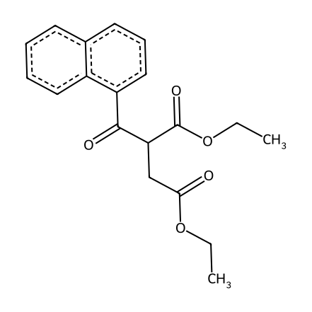 CCOC(=O)CC(C(=O)OCC)C(=O)c1cccc2ccccc12